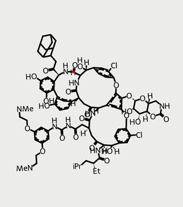 CC[C@H](CC(C)C)C(=O)N[C@H]1C(=O)C[C@@H](CC(=O)NC(=O)Nc2cc(OCCNC)cc(OCCNC)c2)C(=O)N[C@H]2C(=O)C[C@H]3C(=O)N[C@H](C(=O)N[C@H](C(=O)CC4C5CC6CC(C5)CC4C6)c4cc(O)cc(O)c4-c4cc3ccc4O)[C@H](O)c3ccc(c(Cl)c3)Oc3cc2cc(c3O[C@@H]2O[C@@H]3CNC(=O)O[C@H]3[C@H](O)[C@H]2O)Oc2ccc(cc2Cl)[C@H]1O